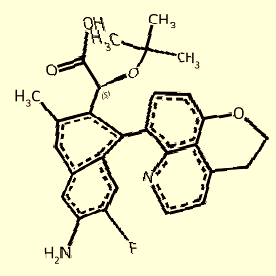 Cc1cc2cc(N)c(F)cc2c(-c2ccc3c4c(ccnc24)CCO3)c1[C@H](OC(C)(C)C)C(=O)O